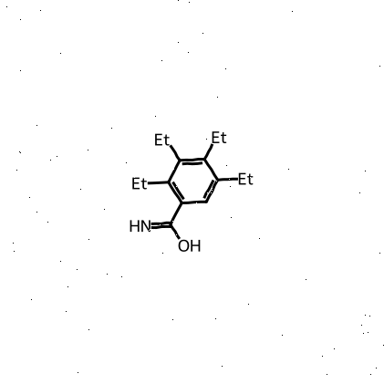 CCc1cc(C(=N)O)c(CC)c(CC)c1CC